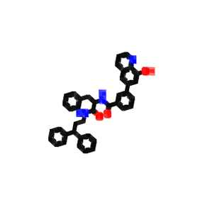 O=C(NC(Cc1ccccc1)C(=O)NCCC(c1ccccc1)c1ccccc1)c1cccc(-c2cc(O)c3ncccc3c2)c1